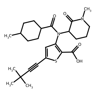 CC1CCC(C(=O)N(c2cc(C#CC(C)(C)C)sc2C(=O)O)C2CCCN(C)C2=O)CC1